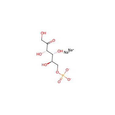 O=C(CO)[C@@H](O)[C@H](O)[C@H](O)COP(=O)([O-])[O-].[Na+].[Na+]